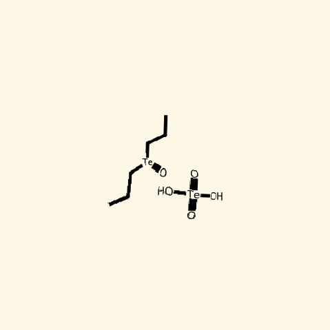 CCC[Te](=O)CCC.O=[Te](=O)(O)O